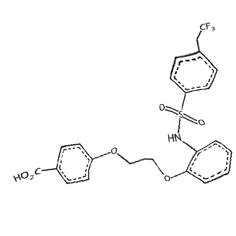 O=C(O)c1ccc(OCCOc2ccccc2NS(=O)(=O)c2ccc(C(F)(F)F)cc2)cc1